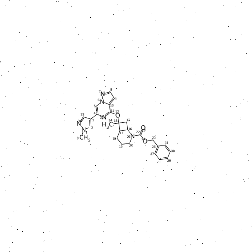 Cn1cc(-c2cn3nccc3c(OC3(C)CC4C3CCCN4C(=O)OCc3ccccc3)n2)cn1